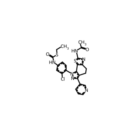 CCSC(=O)Nc1ccc(-n2nc(-c3cccnc3)c3c2-c2sc(NC(C)=O)nc2CC3)c(Cl)c1